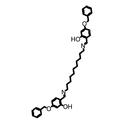 Oc1cc(OCc2ccccc2)ccc1C=NCCCCCCCCCCCN=Cc1ccc(OCc2ccccc2)cc1O